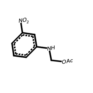 CC(=O)OCNc1cccc([N+](=O)[O-])c1